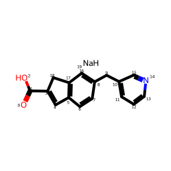 O=C(O)C1=Cc2ccc(Cc3cccnc3)cc2C1.[NaH]